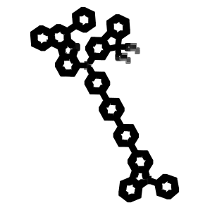 CC1(C)c2ccccc2-c2ccc(N(c3ccc(-c4ccc(-c5ccc(-c6ccc7c(c6)c6ccccc6n7-c6ccccc6)cc5)cc4)cc3)c3cccc4c3oc3c(-c5ccccc5)cc5ccccc5c34)cc21